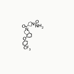 NC(=O)N1CCC(C(=O)N2CCc3c(cccc3Oc3ccc(C(F)(F)F)cc3)C2)C1